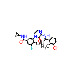 CC[C@@H](Nc1nccn(-c2cc(C(=O)NC3CC3)cc(F)c2C)c1=O)c1cccc(O)c1C